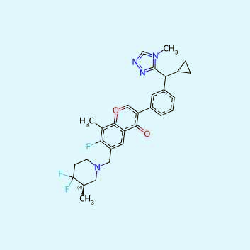 Cc1c(F)c(CN2CCC(F)(F)[C@H](C)C2)cc2c(=O)c(-c3cccc(C(c4nncn4C)C4CC4)c3)coc12